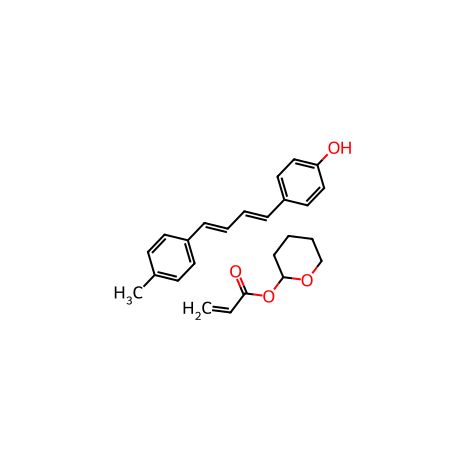 C=CC(=O)OC1CCCCO1.Cc1ccc(C=CC=Cc2ccc(O)cc2)cc1